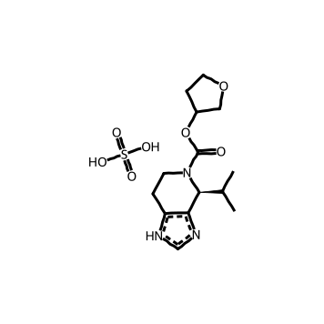 CC(C)[C@H]1c2nc[nH]c2CCN1C(=O)OC1CCOC1.O=S(=O)(O)O